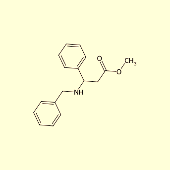 COC(=O)CC(NCc1ccccc1)c1ccccc1